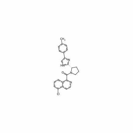 Cc1ccc(-c2c[nH]c([C@@H]3CCCN3C(=O)c3nccc4c(Cl)cccc34)n2)cc1